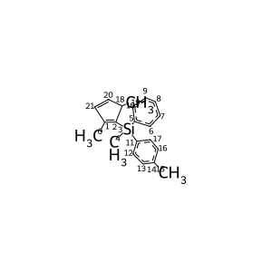 CC1=C([Si](C)(c2ccccc2)c2ccc(C)cc2)C(C)C=C1